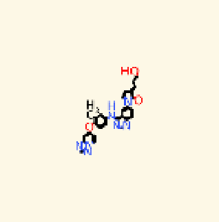 Cc1cc(Nc2ncnc3ccc(N4CC/C(=C\CCO)C4=O)cc23)ccc1Oc1ccn2ncnc2c1